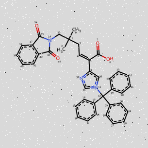 CC(C)(C/C=C(\C(=O)O)c1cn(C(c2ccccc2)(c2ccccc2)c2ccccc2)cn1)CN1C(=O)c2ccccc2C1=O